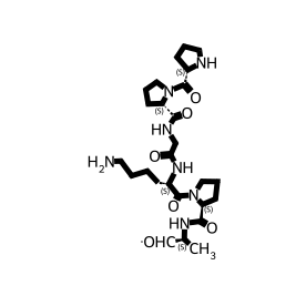 C[C@@H]([C]=O)NC(=O)[C@@H]1CCCN1C(=O)[C@H](CCCCN)NC(=O)CNC(=O)[C@@H]1CCCN1C(=O)[C@@H]1CCCN1